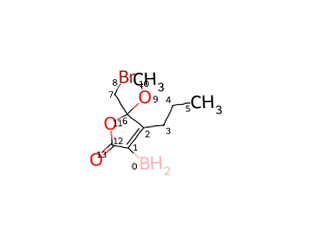 BC1=C(CCC)C(CBr)(OC)OC1=O